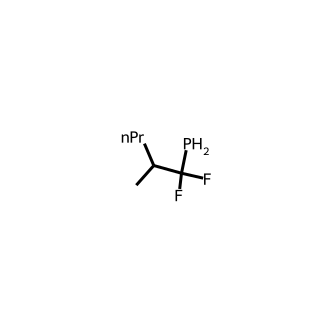 CCCC(C)C(F)(F)P